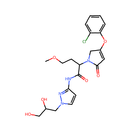 COCCC(C(=O)Nc1ccn(CC(O)CO)n1)N1CC(Oc2ccccc2Cl)=CC1=O